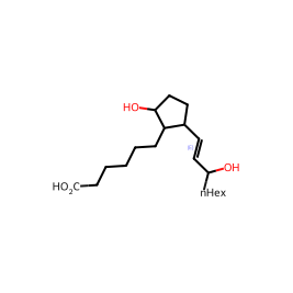 CCCCCCC(O)/C=C/C1CCC(O)C1CCCCCC(=O)O